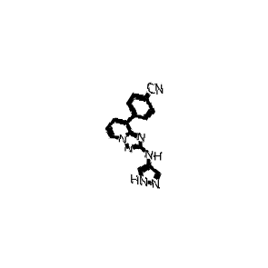 N#Cc1ccc(-c2cccn3nc(Nc4cn[nH]c4)nc23)cc1